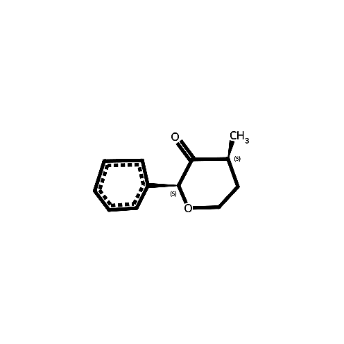 C[C@H]1CCO[C@@H](c2ccccc2)C1=O